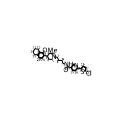 COc1c(C2CCN(CCCCNC(=O)c3ccc(-c4ccc(Cl)s4)nc3)CC2)ccc2c1CCCC2